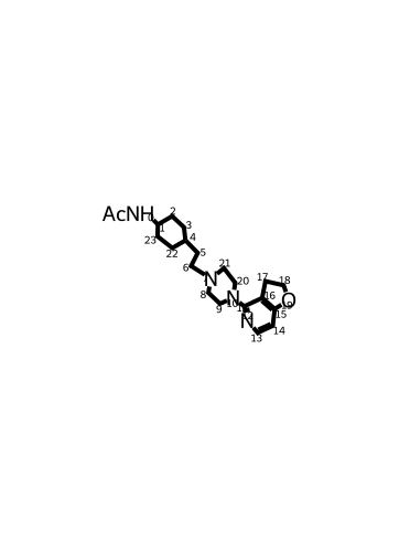 CC(=O)NC1CCC(CCN2CCN(c3nccc4c3CCO4)CC2)CC1